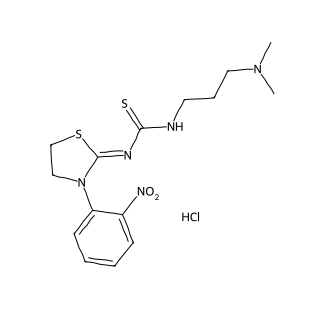 CN(C)CCCNC(=S)N=C1SCCN1c1ccccc1[N+](=O)[O-].Cl